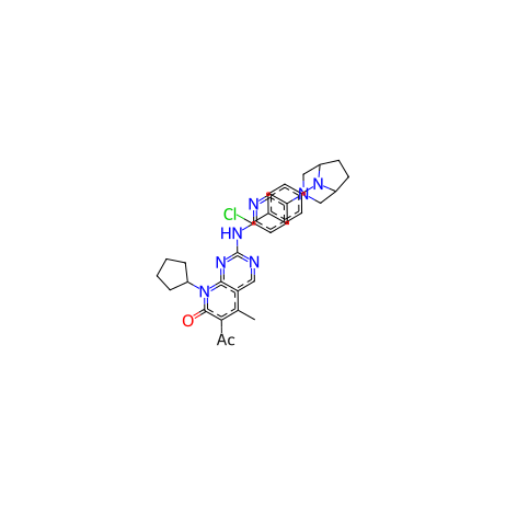 CC(=O)c1c(C)c2cnc(Nc3ccc(N4CC5CCC(C4)N5c4ccc(CCl)cc4)cn3)nc2n(C2CCCC2)c1=O